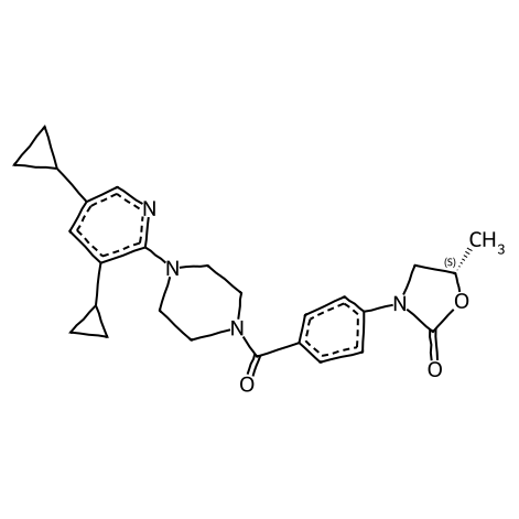 C[C@H]1CN(c2ccc(C(=O)N3CCN(c4ncc(C5CC5)cc4C4CC4)CC3)cc2)C(=O)O1